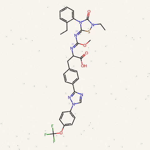 CCc1ccccc1-n1c(=O)n(CC)s/c1=N\C(=N\C(Cc1ccc(-c2ncn(-c3ccc(OC(F)(F)F)cc3)n2)cc1)C(=O)O)OC